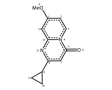 COc1ccn2c(=O)cc(C3CC3)nc2c1